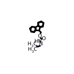 CC(C)/C=N\NC(=O)OCC1c2ccccc2-c2ccccc21